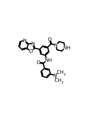 CN(C)c1cccc(C(=O)Nc2cc(C(=O)N3CCNCC3)cc(-c3nc4ncccc4o3)c2)c1